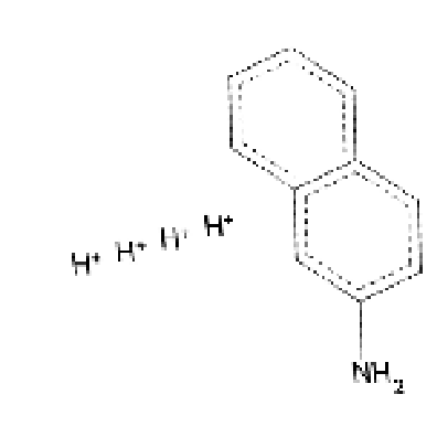 Nc1ccc2ccccc2c1.[H+].[H+].[H+].[H+]